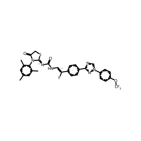 Cc1cc(C)c(N2C(=O)CS/C2=N\C(=O)N/C=C(\F)c2ccc(-c3ncn(-c4ccc(OC(F)(F)F)cc4)n3)cc2)c(C)c1